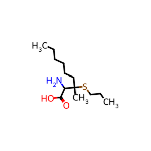 CCCCCCC(C)(SCCC)C(N)C(=O)O